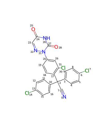 N#CC(c1ccc(Cl)cc1)(c1ccc(Cl)cc1)c1ccc(-n2ncc(=O)[nH]c2=O)cc1Cl